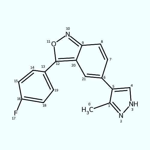 Cc1n[nH]cc1-c1ccc2noc(-c3ccc(F)cc3)c2c1